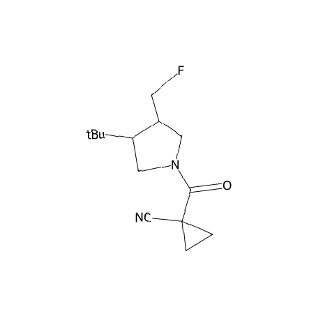 CC(C)(C)C1CN(C(=O)C2(C#N)CC2)CC1CF